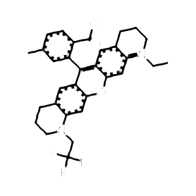 CC[N+]1=c2cc3c(cc2CCC1)=C(c1cc(C)ccc1C(=O)O)c1cc2c(cc1O3)N(CC(F)(F)F)CCC2